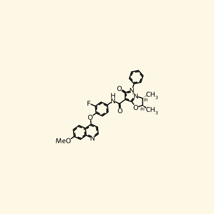 COc1ccc2c(Oc3ccc(NC(=O)c4c5n(n(-c6ccccc6)c4=O)[C@H](C)[C@@H](C)O5)cc3F)ccnc2c1